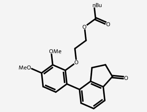 CCCCC(=O)OCCOc1c(-c2cccc3c2CCC3=O)ccc(OC)c1OC